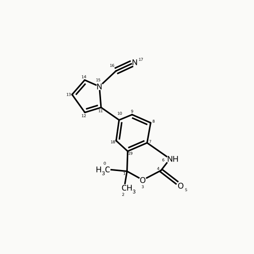 CC1(C)OC(=O)Nc2ccc(-c3cccn3C#N)cc21